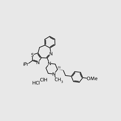 COc1ccc(CC[C@H]2CN(C3=Nc4ccccc4Cc4sc(C(C)C)nc43)CCN2C)cc1.Cl.Cl